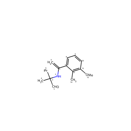 C=C(NC(C)(C=O)C(C)C)c1cccc(OC)c1C